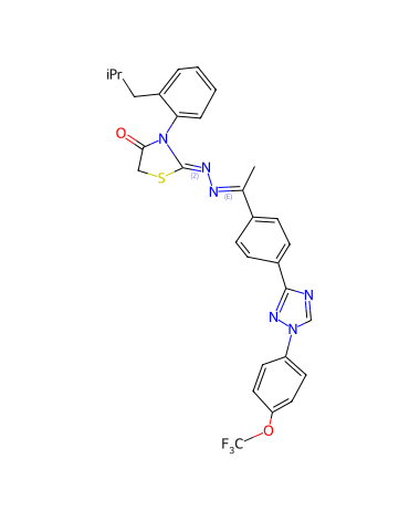 C/C(=N\N=C1/SCC(=O)N1c1ccccc1CC(C)C)c1ccc(-c2ncn(-c3ccc(OC(F)(F)F)cc3)n2)cc1